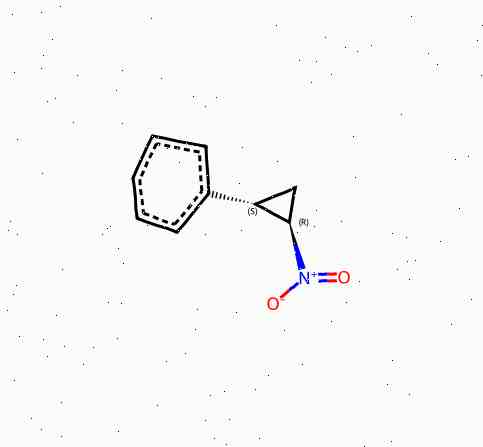 O=[N+]([O-])[C@@H]1C[C@H]1c1ccccc1